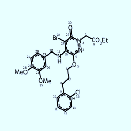 CCOC(=O)Cn1nc(OCCCc2ccccc2Cl)c(NCc2ccc(OC)c(OC)c2)c(Br)c1=O